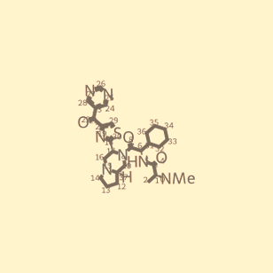 CN[C@@H](C)C(=O)N[C@H](C(=O)N1C[C@H]2CCCN2C[C@H]1c1nc(C(=O)c2cncnc2)cs1)C1CCCCC1